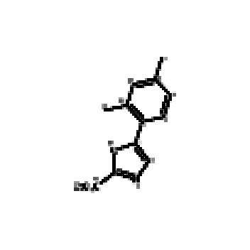 CCOC(=O)c1ncc(-c2ccc(C)cc2C)o1